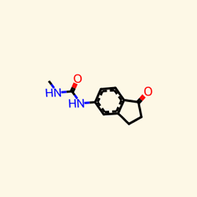 CNC(=O)Nc1ccc2c(c1)CCC2=O